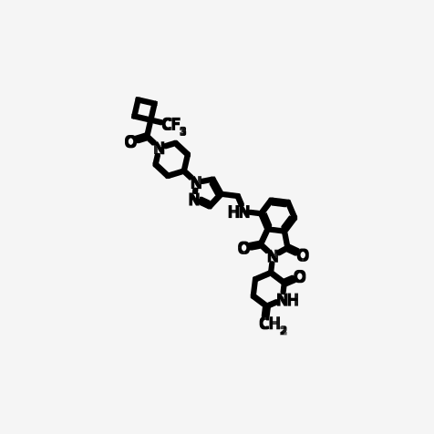 C=C1CCC(N2C(=O)c3cccc(NCc4cnn(C5CCN(C(=O)C6(C(F)(F)F)CCC6)CC5)c4)c3C2=O)C(=O)N1